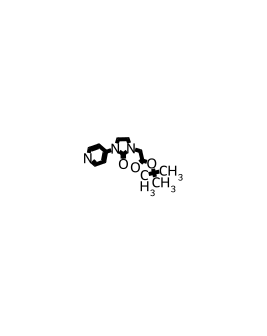 CC(C)(C)OC(=O)CN1CCN(c2ccncc2)C1=O